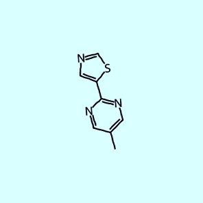 Cc1cnc(-c2cncs2)nc1